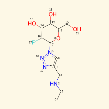 CCNCc1cn(C2OC(CO)C(O)C(O)C2F)nn1